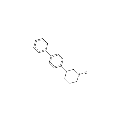 ClN1CCCC(c2ccc(-c3ccccc3)cc2)C1